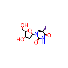 O=c1[nH]c(=O)n(C2C[C@@H](O)[C@@H](CO)O2)cc1I